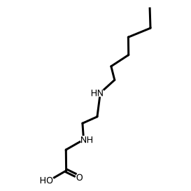 CCCCCCNCCNCC(=O)O